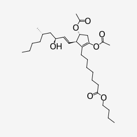 CCCCOC(=O)CCCCCCC1=C(OC(C)=O)C[C@@H](OC(C)=O)[C@@H]1/C=C/[C@@H](O)C[C@@H](C)CCCC